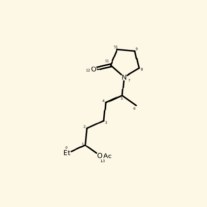 CCC(CCCC(C)N1CCCC1=O)OC(C)=O